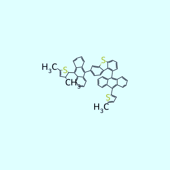 CC1=CC(C)C(c2c3ccccc3c(-c3ccc4c(c3)sc3cccc(-c5c6ccccc6c(-c6ccc(C)s6)c6ccccc56)c34)c3ccccc23)S1